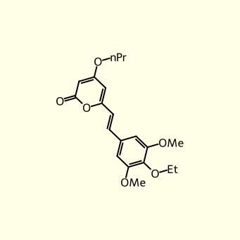 CCCOc1cc(C=Cc2cc(OC)c(OCC)c(OC)c2)oc(=O)c1